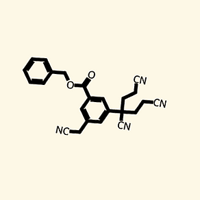 N#CCCC(C#N)(CCC#N)c1cc(CC#N)cc(C(=O)OCc2ccccc2)c1